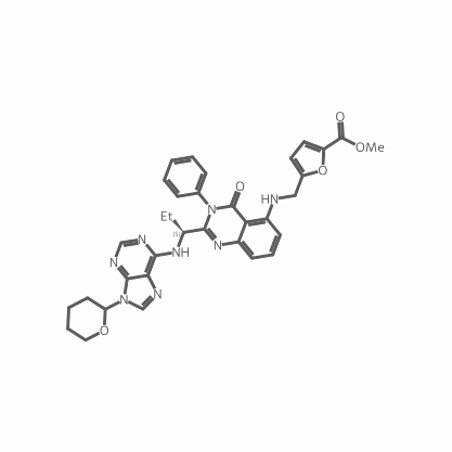 CC[C@H](Nc1ncnc2c1ncn2C1CCCCO1)c1nc2cccc(NCc3ccc(C(=O)OC)o3)c2c(=O)n1-c1ccccc1